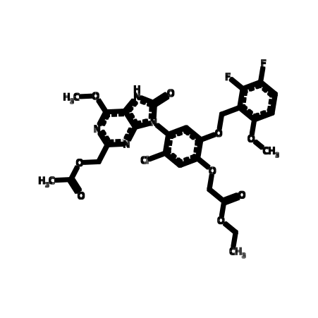 CCOC(=O)COc1cc(Cl)c(-n2c(=O)[nH]c3c(OC)nc(COC(C)=O)nc32)cc1OCc1c(OC)ccc(F)c1F